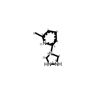 Cc1cccc(N2CNNC2)n1